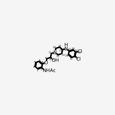 CC(=O)Nc1ccccc1OCC(O)CN1CCC(Nc2ccc(Cl)c(Cl)c2)CC1